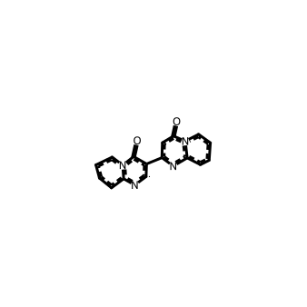 O=c1cc(-c2[c]nc3ccccn3c2=O)nc2ccccn12